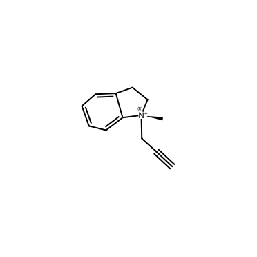 C#CC[N@@+]1(C)CCc2ccccc21